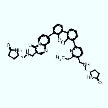 CSc1nc(-c2cccc(-c3cccc(-c4ccn5c(=O)c(CNC[C@@H]6CCC(=O)N6)cnc5c4)c3Cl)c2Cl)ccc1CNC[C@@H]1CCC(=O)N1